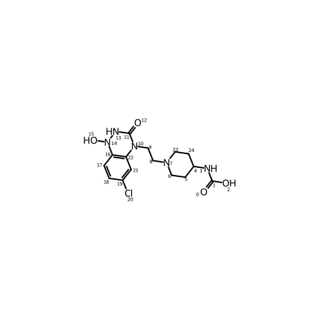 O=C(O)NC1CCN(CCN2C(=O)NN(O)c3ccc(Cl)cc32)CC1